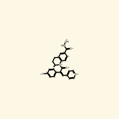 CC1CCc2cc(C(=O)NO)ccc2N1C(=O)/C(=C\c1ccncc1)c1ccc(F)cc1